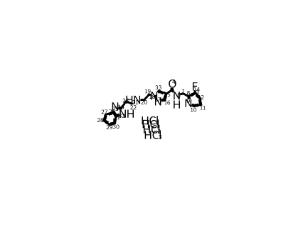 Cl.Cl.Cl.Cl.O=C(NCc1ncccc1F)c1cnn(CCNCCc2nc3ccccc3[nH]2)c1